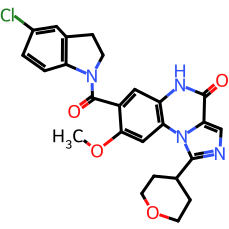 COc1cc2c(cc1C(=O)N1CCc3cc(Cl)ccc31)[nH]c(=O)c1cnc(C3CCOCC3)n12